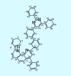 C[C@@]1(C2=CCCC=C2)C=Cc2ccc3c(-c4ccccc4)cc(-c4cccc(-c5cccc(-c6cc(-c7ccccc7)nc(-c7ccccc7)n6)c5)c4)nc3c2N1